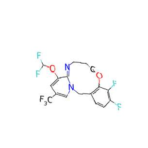 Fc1ccc2c(c1F)OCCC/N=C1/C(OC(F)F)=CC(C(F)(F)F)=CN1C2